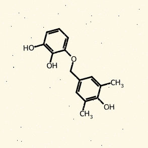 Cc1cc(COc2cccc(O)c2O)cc(C)c1O